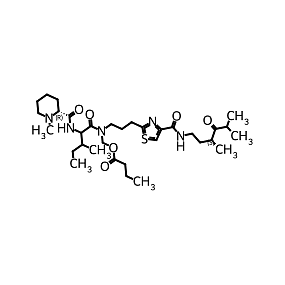 CCCC(=O)OCN(CCCc1nc(C(=O)NCC[C@H](C)C(=O)C(C)C)cs1)C(=O)C(NC(=O)[C@H]1CCCCN1C)C(C)CC